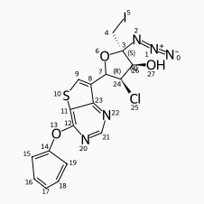 [N-]=[N+]=N[C@]1(CI)OC(c2csc3c(Oc4ccccc4)ncnc23)[C@H](Cl)[C@@H]1O